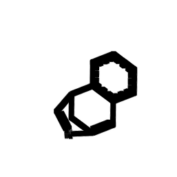 C1=NC2=Cc3ccccc3C1C2